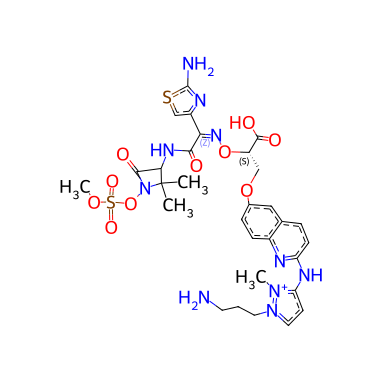 COS(=O)(=O)ON1C(=O)C(NC(=O)/C(=N\O[C@@H](COc2ccc3nc(Nc4ccn(CCCN)[n+]4C)ccc3c2)C(=O)O)c2csc(N)n2)C1(C)C